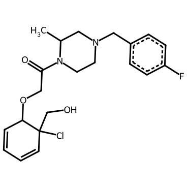 CC1CN(Cc2ccc(F)cc2)CCN1C(=O)COC1C=CC=CC1(Cl)CO